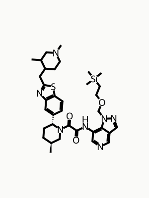 CC1CN(C)CCC1Cc1nc2cc([C@H]3CC[C@H](C)CN3C(=O)C(=O)Nc3cncc4cnn(COCC[Si](C)(C)C)c34)ccc2s1